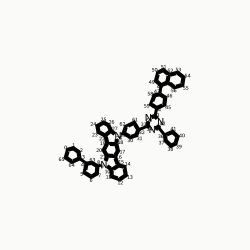 c1ccc(-c2cccc(-n3c4ccccc4c4cc5c(cc43)c3ccccc3n5-c3ccc(-c4nc(-c5ccccc5)nc(-c5ccc(-c6cccc7ccccc67)cc5)n4)cc3)c2)cc1